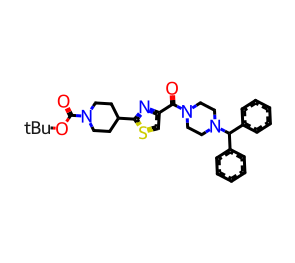 CC(C)(C)OC(=O)N1CCC(c2nc(C(=O)N3CCN(C(c4ccccc4)c4ccccc4)CC3)cs2)CC1